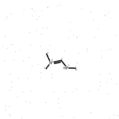 CPC=[N+](C)C